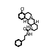 O=C(NCCc1ccccc1)N1CCC[C@@H]2CN3CCc4c(Cl)cccc4[C@@H]3C[C@@H]21